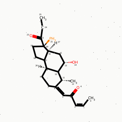 C/C=C\C(=O)/C=C1/CC[C@@H]2C([C@@H]1C)[C@@H](O)C[C@H]1C2CC[C@]1(P)C(=O)CC